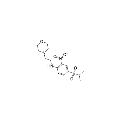 CC(C)S(=O)(=O)c1ccc(NCCN2CCOCC2)c([N+](=O)[O-])c1